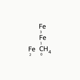 C.[Fe].[Fe].[Fe]